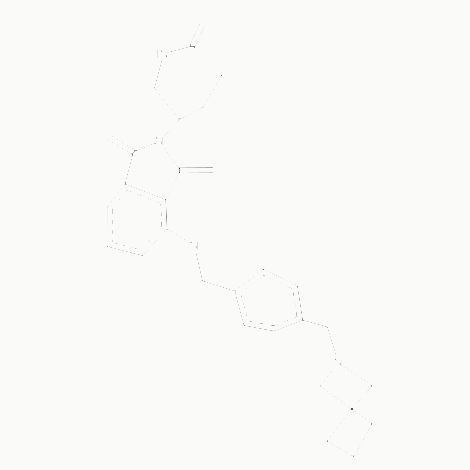 O=C1CCC(N2C(=O)c3cccc(NCc4ccc(CN5CC6(CCC6)C5)cc4)c3C2=O)CN1